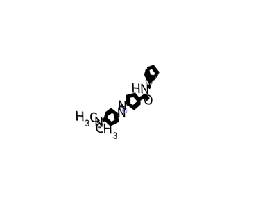 CN(C)c1ccc(/N=N/c2ccc(C(=O)NC[C@H]3CC4C=CC3C4)cc2)cc1